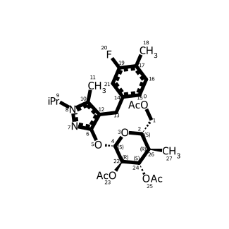 CC(=O)OC[C@H]1O[C@@H](Oc2nn(C(C)C)c(C)c2Cc2ccc(C)c(F)c2)[C@H](OC(C)=O)[C@@H](OC(C)=O)[C@@H]1C